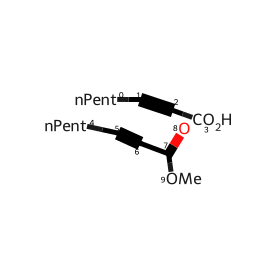 CCCCCC#CC(=O)O.CCCCCC#CC(=O)OC